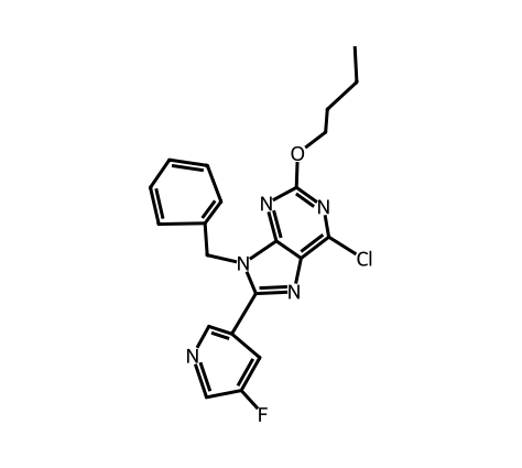 CCCCOc1nc(Cl)c2nc(-c3cncc(F)c3)n(Cc3ccccc3)c2n1